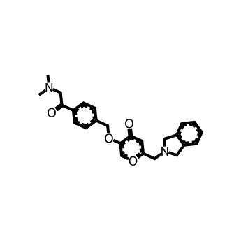 CN(C)CC(=O)c1ccc(COc2coc(CN3Cc4ccccc4C3)cc2=O)cc1